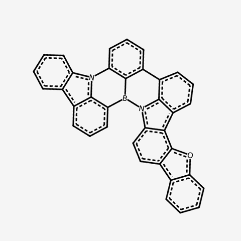 c1cc2c3c(c1)-n1c4ccccc4c4cccc(c41)B3n1c3ccc4c5ccccc5oc4c3c3cccc-2c31